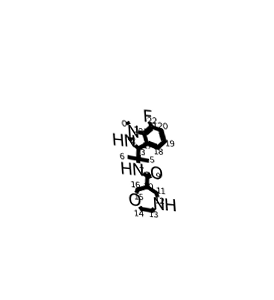 CN1NC(C(C)(C)NC(=O)C2CNCCOC2)c2cccc(F)c21